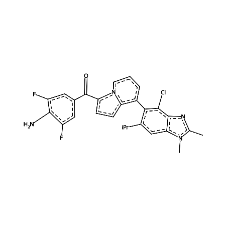 Cc1nc2c(Cl)c(-c3cccn4c(C(=O)c5cc(F)c(N)c(F)c5)ccc34)c(C(C)C)cc2n1C